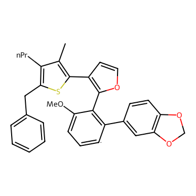 CCCc1c(Cc2ccccc2)sc(-c2ccoc2-c2c(-c3ccc4c(c3)OCO4)[c]ccc2OC)c1C